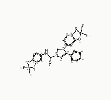 O=C(Nc1ccc2c(c1)OC(F)(F)O2)N1CC(c2ccc3c(c2)OC(F)(F)O3)C(c2ccccc2)=N1